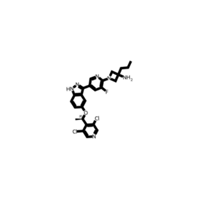 CCCC1(N)CN(c2ncc(-c3n[nH]c4ccc(O[C@H](C)c5c(Cl)cncc5Cl)cc34)cc2F)C1